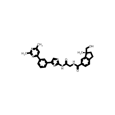 Cc1cc(-c2cccc(-c3csc(NC(=O)CNC(=O)c4ccc5c(c4)[C@](C)(CO)CC5)n3)c2)nc(C)n1